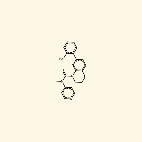 CN(C(=O)N1CCOc2ccc(-c3ccccc3C(F)(F)F)nc21)c1ccncc1